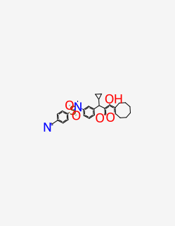 CN(c1cccc(C(c2c(O)c3c(oc2=O)CCCCCC3)C2CC2)c1)S(=O)(=O)c1ccc(C#N)cc1